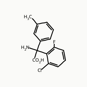 Cc1cccc(C(N)(C(=O)O)c2c(F)cccc2Cl)c1